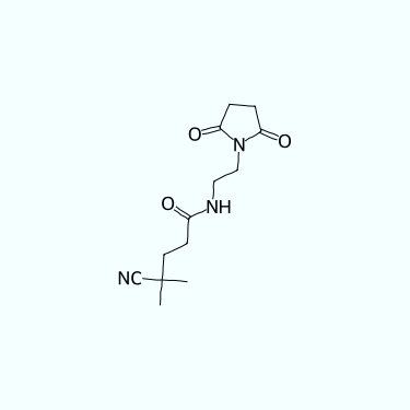 CC(C)(C#N)CCC(=O)NCCN1C(=O)CCC1=O